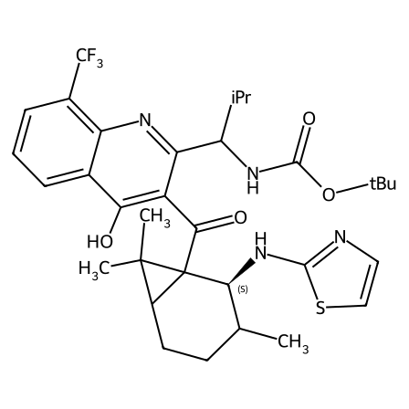 CC(C)C(NC(=O)OC(C)(C)C)c1nc2c(C(F)(F)F)cccc2c(O)c1C(=O)C12C(CCC(C)[C@@H]1Nc1nccs1)C2(C)C